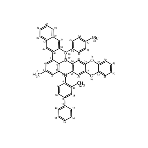 Cc1cc2c3c(c1)N(c1ccc(-c4ccccc4)cc1C)c1cc4c(cc1B3N(c1ccc(C(C)(C)C)cc1)c1cc3ccccc3cc1-2)Oc1ccccc1O4